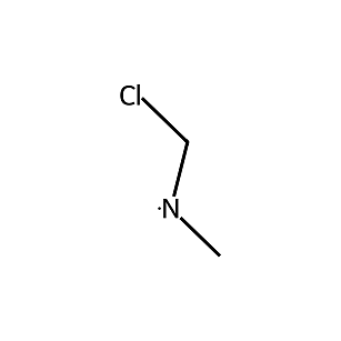 C[N]CCl